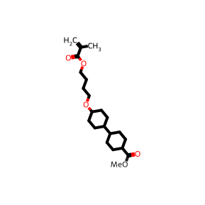 C=C(C)C(=O)OCCCCOC1CCC(C2CCC(C(=O)OC)CC2)CC1